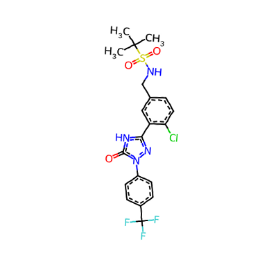 CC(C)(C)S(=O)(=O)NCc1ccc(Cl)c(-c2nn(-c3ccc(C(F)(F)F)cc3)c(=O)[nH]2)c1